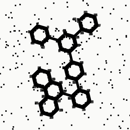 c1ccc(-c2cc(-c3ccc(-c4ccccc4-c4cc5ccccc5c5ccccc45)cc3)cc(-c3ccccn3)n2)nc1